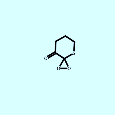 O=C1CCCSC12OO2